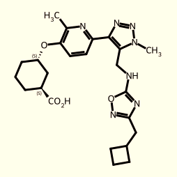 Cc1nc(-c2nnn(C)c2CNc2nc(CC3CCC3)no2)ccc1O[C@H]1CCC[C@H](C(=O)O)C1